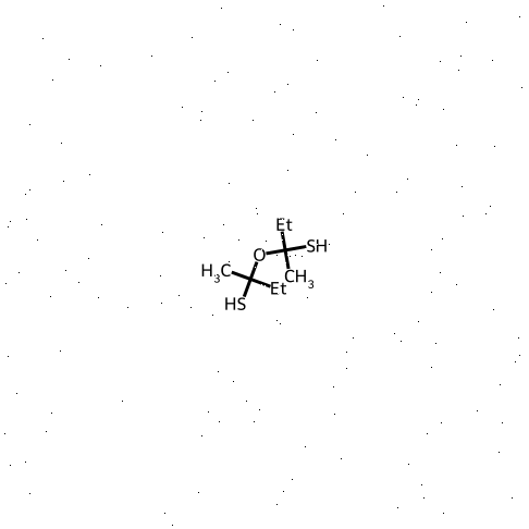 CCC(C)(S)OC(C)(S)CC